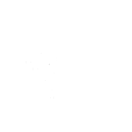 CC(C)(C)[Si](C)(C)OC1(CC(=O)O)CCC(c2ccccc2)CC1